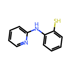 Sc1ccccc1Nc1ccccn1